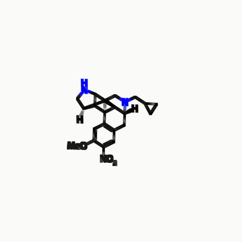 COc1cc2c(cc1[N+](=O)[O-])C[C@H]1N(CC3CC3)CC[C@@]23C2C4CC[C@@]13C[C@@H]2CN4